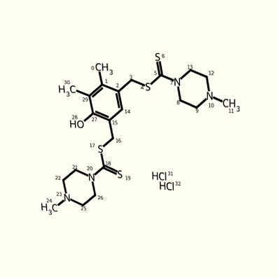 Cc1c(CSC(=S)N2CCN(C)CC2)cc(CSC(=S)N2CCN(C)CC2)c(O)c1C.Cl.Cl